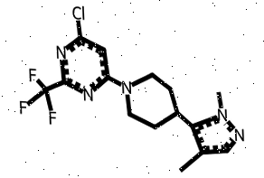 Cc1cnn(C)c1C1CCN(c2cc(Cl)nc(C(F)(F)F)n2)CC1